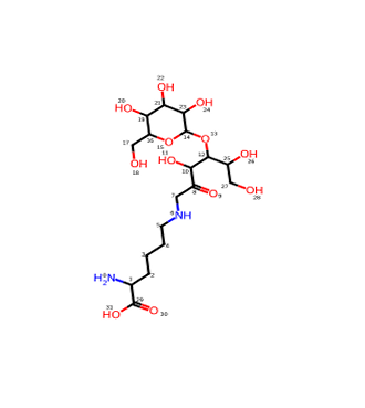 NC(CCCCNCC(=O)C(O)C(OC1OC(CO)C(O)C(O)C1O)C(O)CO)C(=O)O